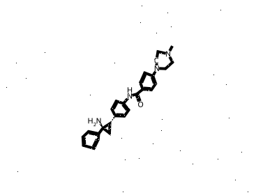 CN1CCN(c2ccc(C(=O)Nc3ccc([C@@H]4C[C@]4(N)c4ccccc4)cc3)cc2)CC1